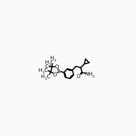 CC1(C)OB(c2cccc(CC(C(N)=O)C3CC3)c2)OC1(C)C